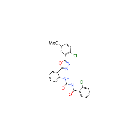 COc1ccc(Cl)c(-c2nnc(-c3ccccc3NC(=O)NC(=O)c3ccccc3Cl)o2)c1